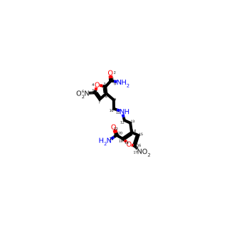 NC(=O)c1oc([N+](=O)[O-])cc1CCNCCc1cc([N+](=O)[O-])oc1C(N)=O